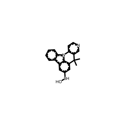 CC1(C)c2cnccc2-n2c3ccccc3c3cc(BO)cc1c32